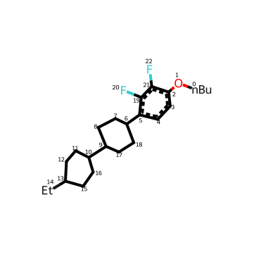 CCCCOc1ccc(C2CCC(C3CCC(CC)CC3)CC2)c(F)c1F